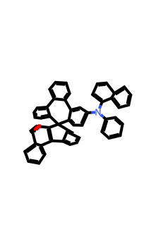 c1ccc(N(c2ccc3c(c2)-c2ccccc2-c2ccccc2C32c3ccccc3-c3c2c2ccccc2c2ccccc32)c2cccc3ccccc23)cc1